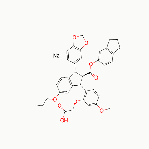 CCCOc1ccc2c(c1)[C@@H](c1ccc(OC)cc1OCC(=O)O)[C@H](C(=O)Oc1ccc3c(c1)CCC3)[C@H]2c1ccc2c(c1)OCO2.[Na]